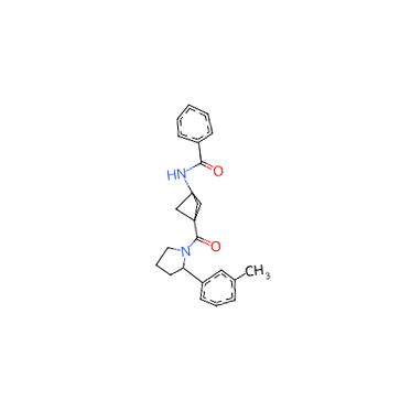 Cc1cccc(C2CCCN2C(=O)C23CC(NC(=O)c4ccccc4)(C2)C3)c1